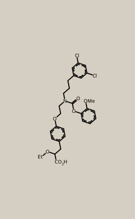 CCOC(Cc1ccc(OCCN(CCCc2cc(Cl)cc(Cl)c2)C(=O)Oc2ccccc2OC)cc1)C(=O)O